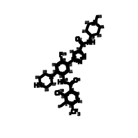 Cc1c(C(F)(F)F)ncc(C(=O)Nc2cc(-n3cc(C(=O)NC4CCN(C)CC4)nn3)c(F)cc2N2CCNCC2)c1Cl